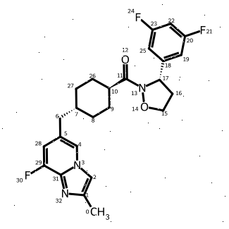 Cc1cn2cc(C[C@H]3CC[C@H](C(=O)N4OCC[C@H]4c4cc(F)cc(F)c4)CC3)cc(F)c2n1